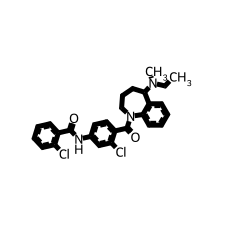 CCN(C)C1CCCN(C(=O)c2ccc(NC(=O)c3ccccc3Cl)cc2Cl)c2ccccc21